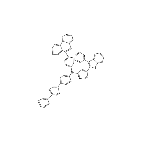 c1ccc(-c2ccc(-c3ccc(N(c4ccc(-c5cc6ccccc6c6ccccc56)cc4)c4cccc(-c5oc6ccccc6c5-c5ccccc5)c4)cc3)cc2)cc1